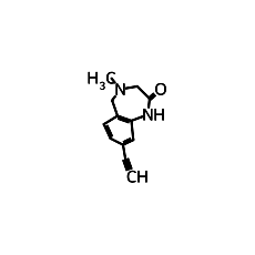 C#Cc1ccc2c(c1)NC(=O)CN(C)C2